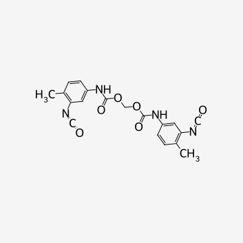 Cc1ccc(NC(=O)OCOC(=O)Nc2ccc(C)c(N=C=O)c2)cc1N=C=O